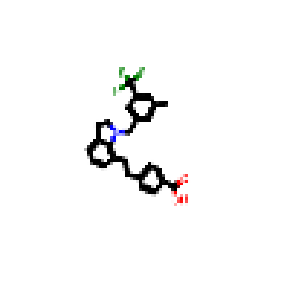 Cc1cc(CN2CCc3cccc(CCc4ccc(C(=O)O)cc4)c32)cc(C(F)(F)F)c1